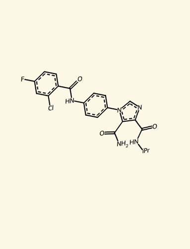 CC(C)NC(=O)c1ncn(-c2ccc(NC(=O)c3ccc(F)cc3Cl)cc2)c1C(N)=O